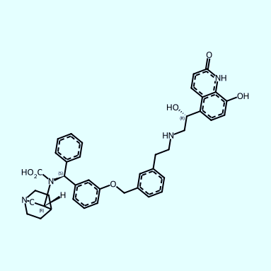 O=C(O)N([C@@H](c1ccccc1)c1cccc(OCc2cccc(CCNC[C@H](O)c3ccc(O)c4[nH]c(=O)ccc34)c2)c1)[C@H]1CN2CCC1CC2